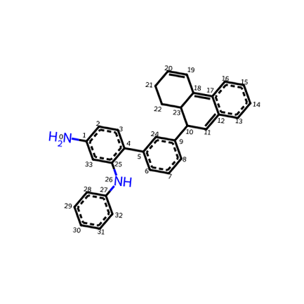 Nc1ccc(-c2cccc(C3C=c4ccccc4=C4C=CCCC43)c2)c(Nc2ccccc2)c1